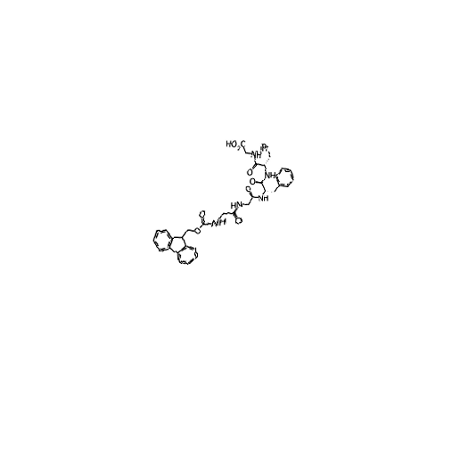 CC(C)C[C@H](NC(=O)[C@H](Cc1ccccc1)NC(=O)CNC(=O)CNC(=O)OCC1c2ccccc2-c2ccccc21)C(=O)NCC(=O)O